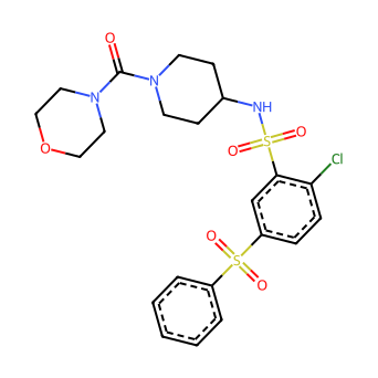 O=C(N1CCOCC1)N1CCC(NS(=O)(=O)c2cc(S(=O)(=O)c3ccccc3)ccc2Cl)CC1